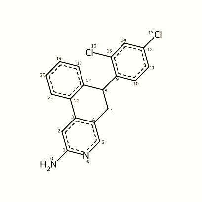 Nc1cc2c(cn1)CC(c1ccc(Cl)cc1Cl)c1ccccc1-2